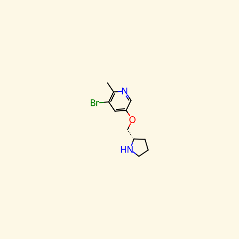 Cc1ncc(OC[C@@H]2CCCN2)cc1Br